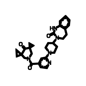 O=C(c1ccnc(N2CCC(N3CCc4ccccc4NC3=O)CC2)c1)N1CC2(CC2)C(=O)C2(CC2)C1